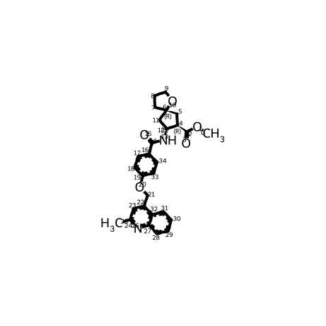 COC(=O)[C@@H]1C[C@]2(CCCO2)C[C@@H]1NC(=O)c1ccc(OCc2cc(C)nc3ccccc23)cc1